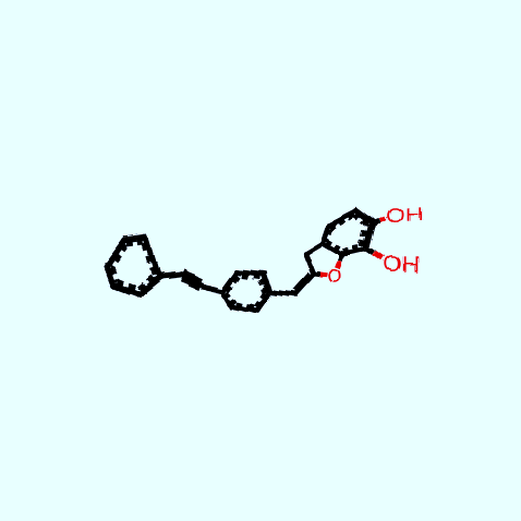 Oc1ccc2c(c1O)OC(=Cc1ccc(C#Cc3ccccc3)cc1)C2